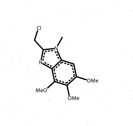 COc1cc2c(nc(CCl)n2C)c(OC)c1OC